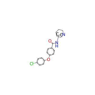 O=C(NC1CC2CCN(CC2)C1)c1ccc(Oc2ccc(Cl)cc2)cc1